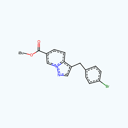 CCC(C)OC(=O)c1ccc2c(Cc3ccc(Br)cc3)cnn2c1